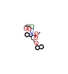 CCOC(=O)c1[nH]c2c(B3OC(C)(C)C(C)(Cl)O3)cccc2c1CCCOc1cccc2ccccc12